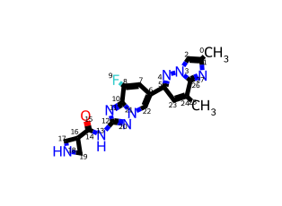 Cc1cn2nc(-c3cc(F)c4nc(NC(=O)C5CNC5)nn4c3)cc(C)c2n1